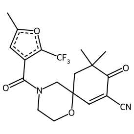 Cc1cc(C(=O)N2CCOC3(C=C(C#N)C(=O)C(C)(C)C3)C2)c(C(F)(F)F)o1